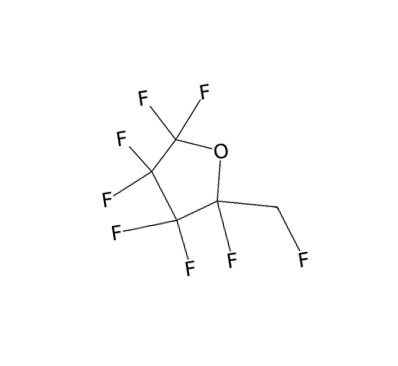 FCC1(F)OC(F)(F)C(F)(F)C1(F)F